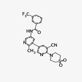 Cc1ncc(NC(=O)c2cccc(C(F)(F)F)c2)cc1-c1cnc(N2CCS(=O)(=O)CC2)c(C#N)c1